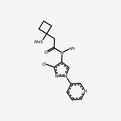 CCCN(C(=O)CC1(SC)CCC1)c1cn(-c2cccnc2)nc1Cl